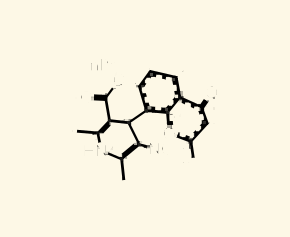 [C-]#[N+]C1=C(C)NC(C)=C(C(=O)OCCC)C1c1cccc2c(=O)cc(C)oc12